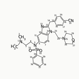 CN(C)CCN(c1ccc2c(c1)nc(Cc1ccc(C#N)cc1)n2CCN1CCOCC1)S(=O)(=O)c1ccccc1